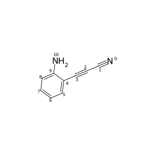 N#CC#Cc1ccccc1N